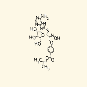 CC(C)COC(=O)c1ccc(OCC(CSc2nc3c(N)ncnc3n2[C@@H]2O[C@H](CO)[C@@H](O)[C@H]2O)=NO)cc1